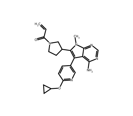 C=CC(=O)N1CCC(c2c(-c3ccc(OC4CC4)nc3)c3c(N)ncnc3n2C)C1